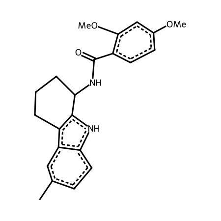 COc1ccc(C(=O)NC2CCCc3c2[nH]c2ccc(C)cc32)c(OC)c1